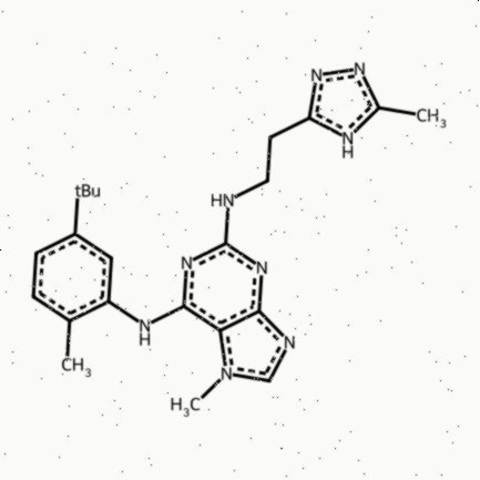 Cc1nnc(CCNc2nc(Nc3cc(C(C)(C)C)ccc3C)c3c(ncn3C)n2)[nH]1